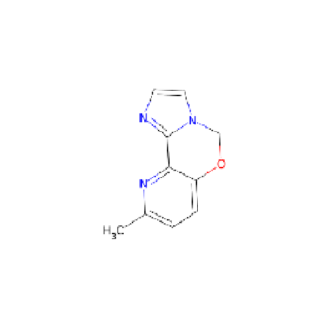 Cc1ccc2c(n1)-c1nccn1CO2